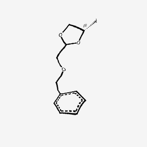 I[C@H]1COC(COCc2ccccc2)O1